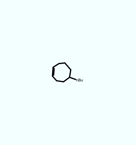 CCC[CH]C1CC/C=C\CCC1